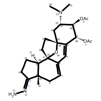 CC(=O)O[C@H]1[C@H](OC(C)=O)C2=CC3=CC[C@]4(C)/C(=N/N)CC[C@H]4[C@@]34CC[C@]2(C[C@@H]1N(C)C)O4